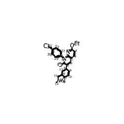 CCOc1ccc2cc(-c3ccc4nn(C)cc4c3)c(=O)n(-c3ccc(Cl)cc3)c2n1